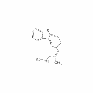 CCNCC(C)=Cc1ccc2sc3ccccc3c2c1